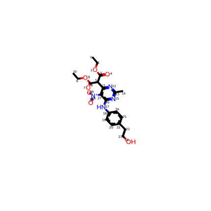 CCOC(=O)C(C(=O)OCC)c1nc(C)nc(Nc2ccc(CCO)cc2)c1[N+](=O)[O-]